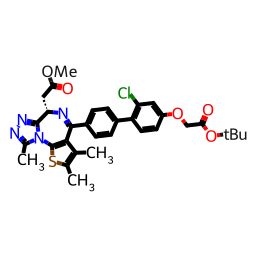 COC(=O)C[C@@H]1N=C(c2ccc(-c3ccc(OCC(=O)OC(C)(C)C)cc3Cl)cc2)c2c(sc(C)c2C)-n2c(C)nnc21